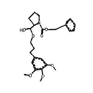 COc1cc(CCCOC(O)C2CCCN2C(=O)OCc2ccccc2)cc(OC)c1OC